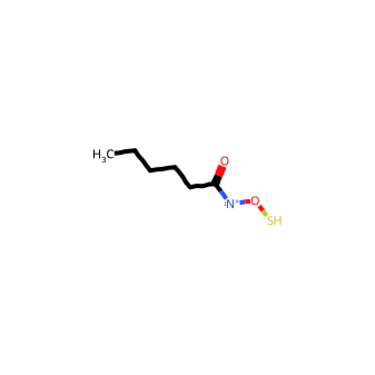 CCCCCC(=O)[N+]OS